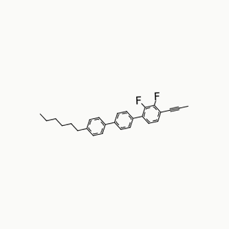 CC#Cc1ccc(-c2ccc(-c3ccc(CCCCCC)cc3)cc2)c(F)c1F